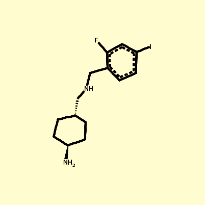 N[C@H]1CC[C@H](CNCc2ccc(I)cc2F)CC1